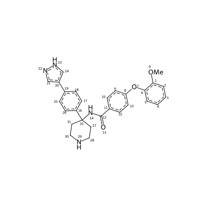 COc1ccccc1Oc1ccc(C(=O)NC2(c3ccc(-c4cn[nH]c4)cc3)CCNCC2)cc1